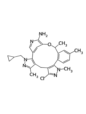 Cc1ccc2c(c1)C(C)Oc1cc(cnc1N)-c1c(c(C)nn1CC1CC1)Cc1c(Cl)nn(C)c1-2